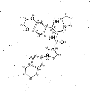 O=C(N[C@H](CN1CCCC1)[C@H](O)c1ccc2c(c1)OCCO2)[C@@H]1CCN(c2ccc3c(c2)CCCC3)C1